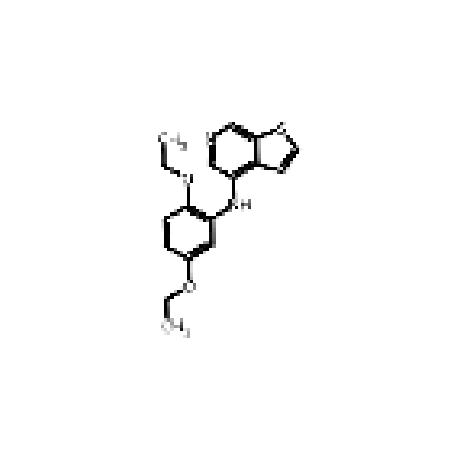 CCOc1ccc(OCC)c(Nc2cncc3sccc23)c1